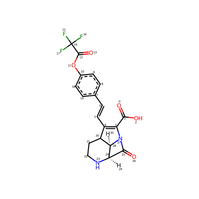 O=C(O)C1=C(/C=C/c2ccc(OC(=O)C(F)(F)F)cc2)C2CCN[C@@H]3C(=O)N1[C@H]23